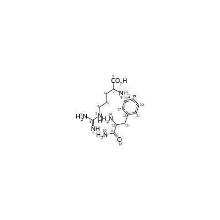 N=C(N)NCCCC(N)C(=O)O.NC(=O)C(N)Cc1ccccc1